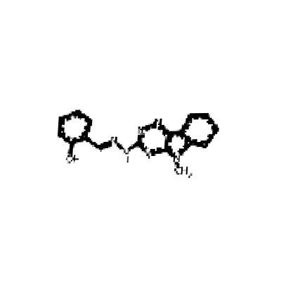 Cn1c2ccccc2c2nnc(NN=Cc3ccccc3O)nc21